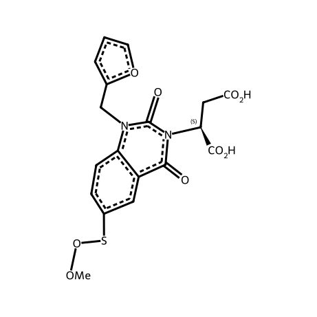 COOSc1ccc2c(c1)c(=O)n([C@@H](CC(=O)O)C(=O)O)c(=O)n2Cc1ccco1